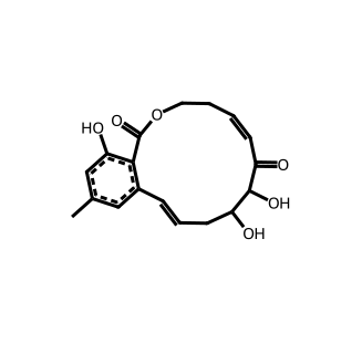 Cc1cc(O)c2c(c1)/C=C/CC(O)C(O)C(=O)/C=C\CCOC2=O